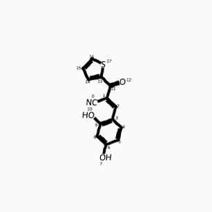 N#CC(=Cc1ccc(O)cc1O)C(=O)c1cccs1